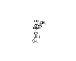 CCCCNc1ccc(CCNc2ncnc(CC)c2C(=O)OCC)cc1